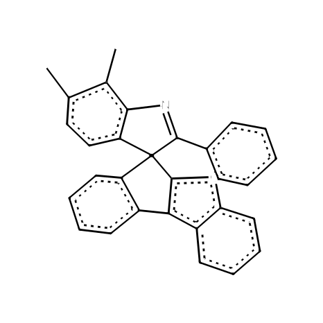 Cc1ccc2c(c1C)N=C(c1ccccc1)C21c2ccccc2-c2c1oc1ccccc21